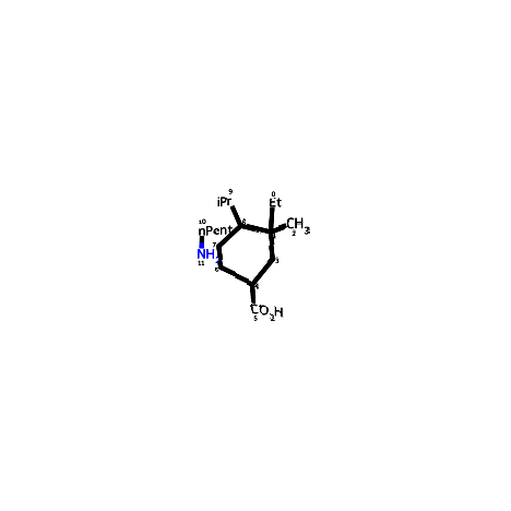 CCC1(C)CC(C(=O)O)CCC1C(C)C.CCCCCN